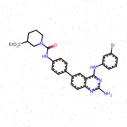 CCOC(=O)C1CCCN(C(=O)Nc2ccc(-c3ccc4nc(N)nc(Nc5cccc(Br)c5)c4c3)cc2)C1